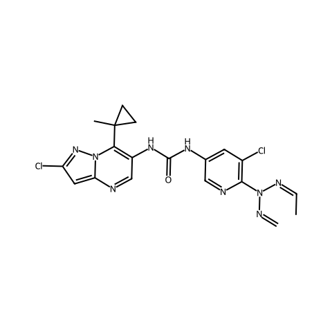 C=NN(/N=C\C)c1ncc(NC(=O)Nc2cnc3cc(Cl)nn3c2C2(C)CC2)cc1Cl